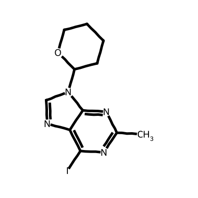 Cc1nc(I)c2ncn(C3CCCCO3)c2n1